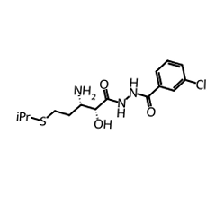 CC(C)SCC[C@H](N)[C@@H](O)C(=O)NNC(=O)c1cccc(Cl)c1